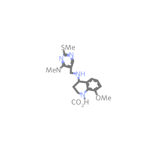 CNc1nc(SC)ncc1CNC1CCN(C(=O)O)c2c(OC)cccc21